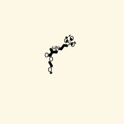 COCCOC(=O)C(C)CNCCC[Si](OC)(OC)OC